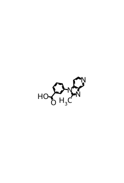 Cc1nc2cnccc2n1-c1cccc(C(=O)O)c1